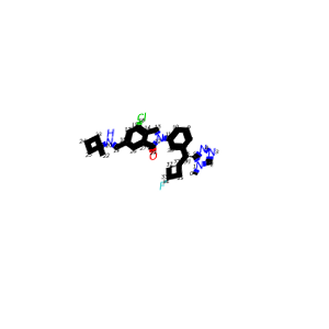 Cn1cnnc1[C@@H](c1cccc(N2Cc3c(Cl)cc(CNC4(C)CCC4)cc3C2=O)c1)[C@H]1C[C@@H](F)C1